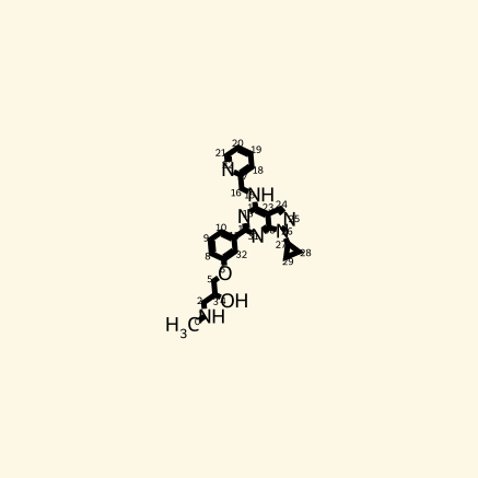 CNCC(O)COc1cccc(-c2nc(NCc3ccccn3)c3cnn(C4CC4)c3n2)c1